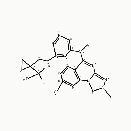 CN1CN2C(=N1)N=C(N(C)c1cncc(CCC3(C(F)(F)F)CC3)c1)c1ccc(Cl)cc12